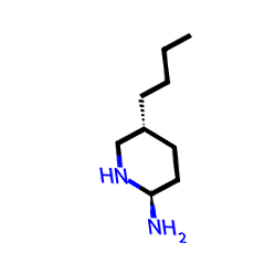 CCCC[C@@H]1CC[C@@H](N)NC1